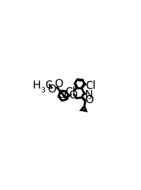 COC(=O)C12CCC(CC1)C(OCc1c(-c3c(Cl)cccc3Cl)noc1C1CC1)O2